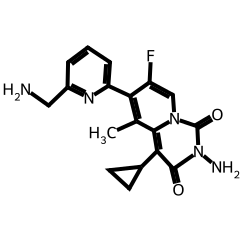 Cc1c(-c2cccc(CN)n2)c(F)cn2c(=O)n(N)c(=O)c(C3CC3)c12